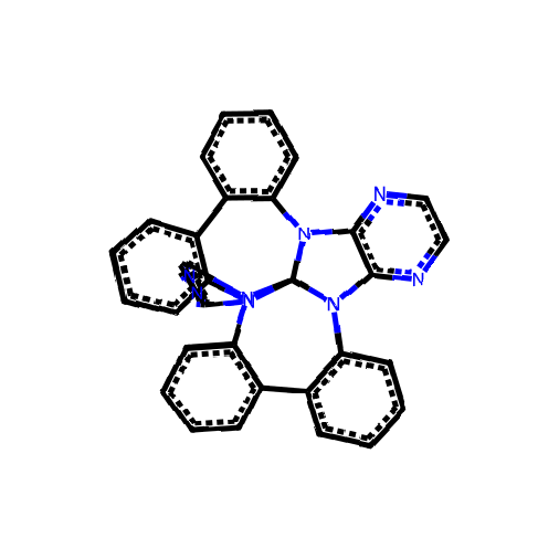 c1ccc2c(c1)-c1ccccc1N1c3nccnc3N3c4ccccc4-c4ccccc4N4c5nccnc5N2C413